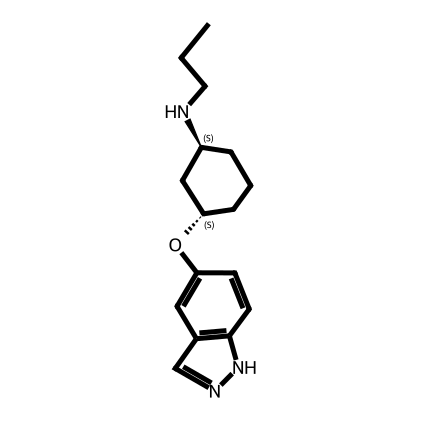 CCCN[C@H]1CCC[C@H](Oc2ccc3[nH]ncc3c2)C1